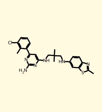 Cc1nc2ccc(NCC(C)(C)CNc3cc(-c4cccc(Cl)c4C)nc(N)n3)cc2s1